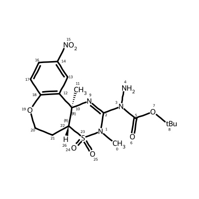 CN1C(N(N)C(=O)OC(C)(C)C)=N[C@]2(C)c3cc([N+](=O)[O-])ccc3OCC[C@H]2S1(=O)=O